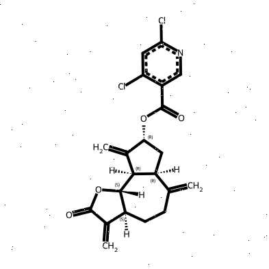 C=C1[C@@H]2[C@H]3OC(=O)C(=C)[C@@H]3CCC(=C)[C@@H]2C[C@H]1OC(=O)c1cnc(Cl)cc1Cl